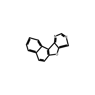 c1ccc2c(c1)ccc1oc3cncnc3c12